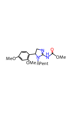 CCCCCN1C(NC(=O)OC)=NCC1c1ccc(OC)cc1OC